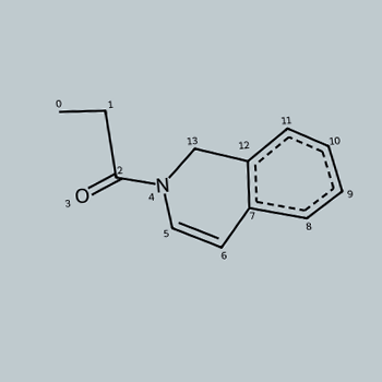 CCC(=O)N1C=Cc2ccccc2C1